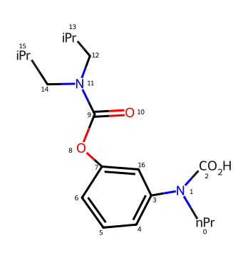 CCCN(C(=O)O)c1cccc(OC(=O)N(CC(C)C)CC(C)C)c1